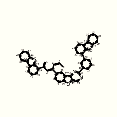 C=C(/C=C(\C=C/C)c1ccc2oc3cnc(-c4cccc(-c5cccc6c5sc5ccccc56)c4)nc3c2c1)c1cccc2c1sc1ccccc12